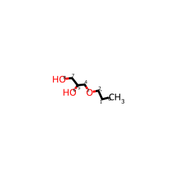 CC[CH]OCC(O)CO